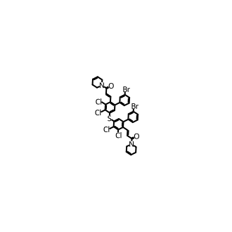 O=C(/C=C/c1c(-c2cccc(Br)c2)cc(Sc2cc(-c3cccc(Br)c3)c(/C=C/C(=O)N3CC=CCC3)c(Cl)c2Cl)c(Cl)c1Cl)N1CC=CCC1